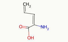 C=C/C=C(/N)C(=O)O